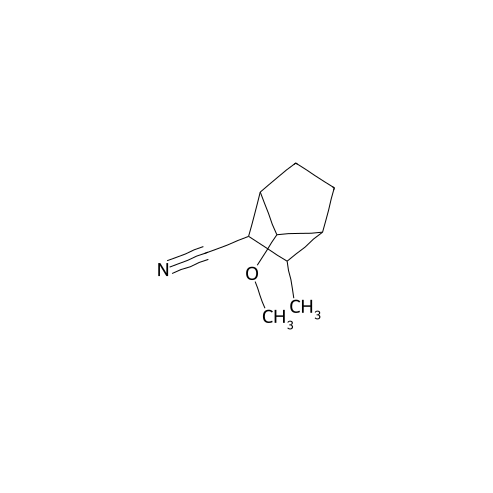 COC1C2CCC1C(C#N)C2C